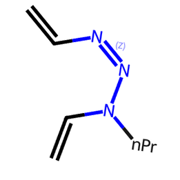 C=C/N=N\N(C=C)CCC